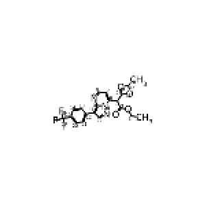 CCOC(=O)C(c1ccnc2c(-c3ccc(C(F)(F)F)cc3)cnn12)C1OC(C)O1